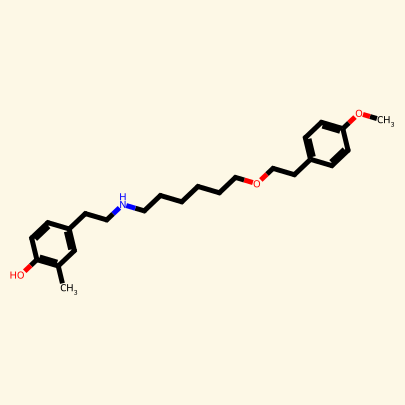 COc1ccc(CCOCCCCCCNCCc2ccc(O)c(C)c2)cc1